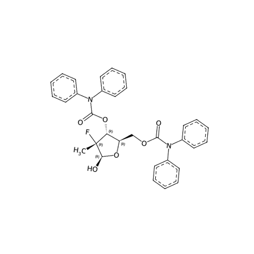 C[C@]1(F)[C@H](O)O[C@H](COC(=O)N(c2ccccc2)c2ccccc2)[C@H]1OC(=O)N(c1ccccc1)c1ccccc1